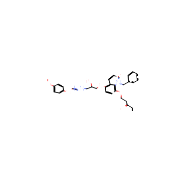 CCC(=O)CCOc1ccc(OCC(O)CNCCOc2ccc(OC)cc2)c2ccc(=O)n(Cc3ccccc3)c12